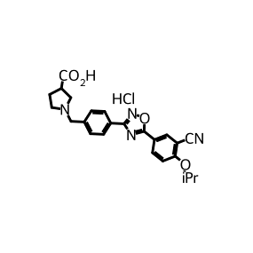 CC(C)Oc1ccc(-c2nc(-c3ccc(CN4CCC(C(=O)O)C4)cc3)no2)cc1C#N.Cl